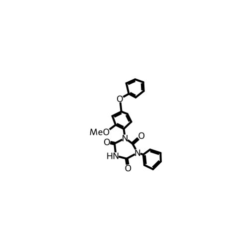 COc1cc(Oc2ccccc2)ccc1-n1c(=O)[nH]c(=O)n(-c2ccccc2)c1=O